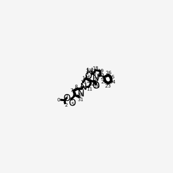 CC(C)OC(=O)c1ccc(N2CCC3(CC2)O[C@@H]2CC[C@@H](c4ccccc4)N2C3=O)nc1